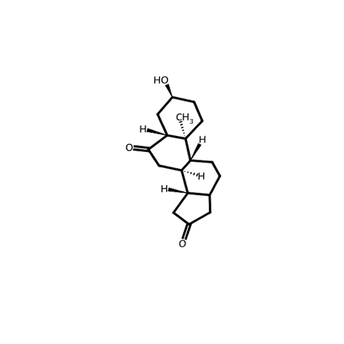 C[C@@]12CC[C@H](O)C[C@H]1C(=O)C[C@H]1[C@H]2CCC2CC(=O)C[C@@H]21